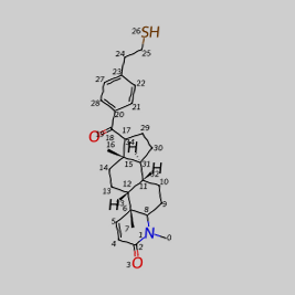 CN1C(=O)C=C[C@@]2(C)C1CC[C@@H]1[C@H]2CC[C@]2(C)C(C(=O)c3ccc(CCS)cc3)CC[C@@H]12